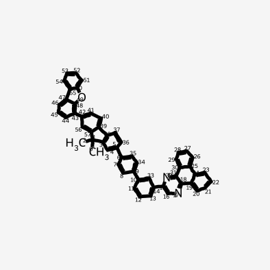 CC1(C)c2cc(-c3ccc(-c4cccc(-c5cnc6c7ccccc7c7ccccc7c6n5)c4)cc3)ccc2-c2ccc(-c3cccc4c3oc3ccccc34)cc21